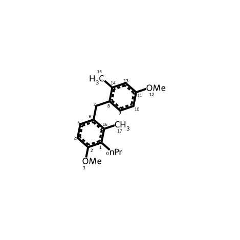 CCCc1c(OC)ccc(Cc2ccc(OC)cc2C)c1C